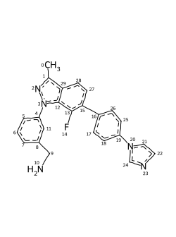 Cc1nn(-c2cccc(CN)c2)c2c(F)c(-c3ccc(-n4ccnc4)cc3)ccc12